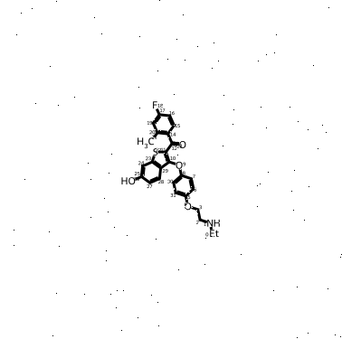 CCNCCOc1ccc(Oc2c(C(=O)c3ccc(F)cc3C)sc3cc(O)ccc23)cc1